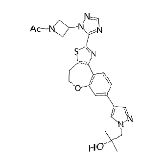 CC(=O)N1CC(n2ncnc2-c2nc3c(s2)CCOc2cc(-c4cnn(CC(C)(C)O)c4)ccc2-3)C1